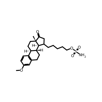 COc1ccc2c(c1)CC[C@@H]1[C@@H]2CC[C@]2(C)C(=O)CC(CCCCCOS(N)(=O)=O)[C@@H]12